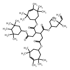 C=CC(C)(C)CC(CC(C)(C)C)OC(=O)C(CC(=O)OC1CC(C)(C)C=C(C)C(C)(C)C1)C(CC(=O)OC1CC(C)(C)C(C)C(C)(C)C1)C(=O)OC1CC(C)(C)C=C(C)C(C)(C)C1